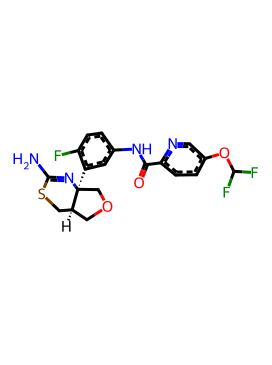 NC1=N[C@@]2(c3cc(NC(=O)c4ccc(OC(F)F)cn4)ccc3F)COC[C@H]2CS1